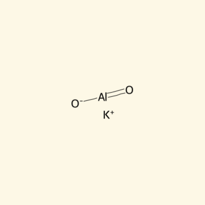 [K+].[O]=[Al][O-]